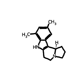 Cc1cc(C)c2[nH]c3c(c2c1)[C@H]1CCCN1CC3